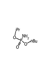 CCCCOP(N)(=O)OC(C)C